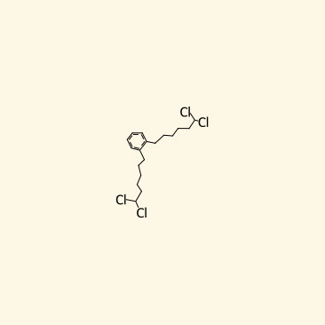 ClC(Cl)CCCCCc1ccccc1CCCCCC(Cl)Cl